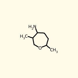 CC1CCC(N)C(C)CO1